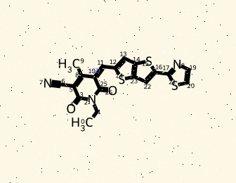 CCN1C(=O)C(C#N)=C(C)/C(=C/c2cc3sc(-c4nccs4)cc3s2)C1=O